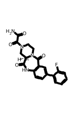 NC(=O)C(=O)N1CCN2C(=O)c3cc(-c4ccccc4F)ccc3NC(=O)[C@H]2C1